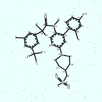 Cc1cc(C(F)(F)F)cc(C(C)(C)C(=O)N(C)c2cnc(N3CCC(CS(C)(=O)=O)CC3)cc2-c2ccc(F)cc2C)c1